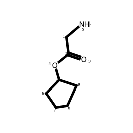 [NH]CC(=O)OC1CCCC1